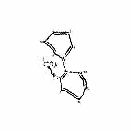 NC(=O)O.c1cc[n+](-c2ccccn2)cc1